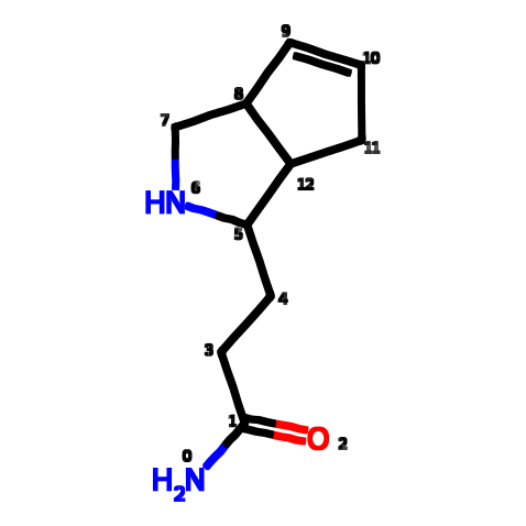 NC(=O)CCC1NCC2C=CCC21